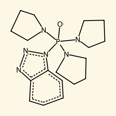 [O]P(N1CCCC1)(N1CCCC1)(N1CCCC1)n1nnc2ccccc21